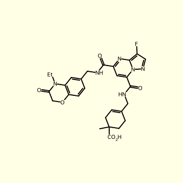 CCN1C(=O)COc2ccc(CNC(=O)c3cc(C(=O)NCC4=CCC(C)(C(=O)O)CC4)n4ncc(F)c4n3)cc21